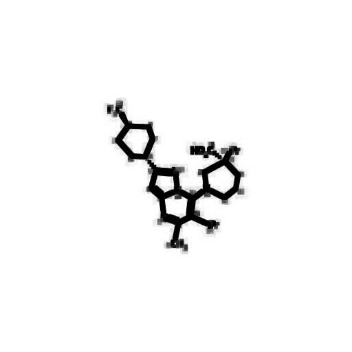 Cc1nc2cc([C@H]3CC[C@H](C(F)(F)F)CC3)nn2c(N2CCC[C@](C(=O)O)(C(C)C)C2)c1C(C)C